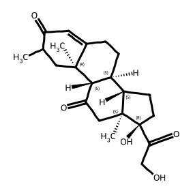 CC1C[C@@]2(C)C(=CC1=O)CC[C@@H]1[C@@H]2C(=O)C[C@@]2(C)[C@H]1CC[C@]2(O)C(=O)CO